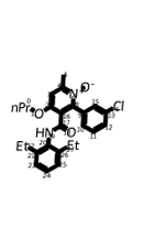 CCCOc1cc(C)[n+]([O-])c(-c2cccc(Cl)c2)c1C(=O)Nc1c(CC)cccc1CC